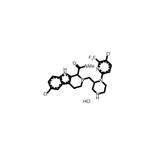 CNC(=O)C1c2[nH]c3ccc(Cl)cc3c2CCN1CC1CNCCN1c1ccc(Cl)c(C(F)(F)F)n1.Cl